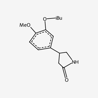 CCC(C)Oc1cc(C2CNC(=O)C2)ccc1OC